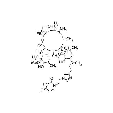 CC[C@H]1OC(=O)[C@H](C)C([C@H]2C[C@@](C)(OC)[C@@H](O)[C@H](C)O2)[C@H](C)[C@@H](O[C@@H]2O[C@H](C)C[C@H](N(C)CCc3cn(CCn4ccc(=O)[nH]c4=O)nn3)[C@H]2O)[C@](C)(O)C[C@@H](C)CN(C)[C@H](C)[C@@H](O)[C@]1(C)O